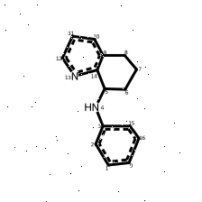 c1ccc(NC2CCCc3cccnc32)cc1